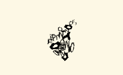 CC(C)n1c(=O)c(CNC(=O)[C@@H]2CCCN2S(=O)(=O)c2ccc(F)cc2)cn(-c2ccc(C(F)(F)F)cc2)c1=O